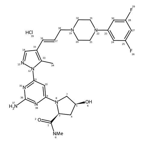 CNC(=O)[C@@H]1C[C@H](O)CN1c1cc(-n2ncc(C=CCN3CCN(c4cc(F)cc(F)c4)CC3)c2C)nc(N)n1.Cl